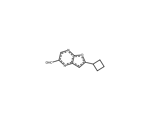 O=Cc1cnc2oc(C3CCC3)cc2n1